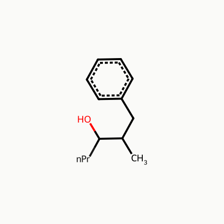 [CH2]CCC(O)C(C)Cc1ccccc1